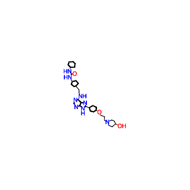 O=C(Nc1ccccc1)Nc1ccc(CCNc2ncnc3[nH]c(-c4ccc(OCCCN5CCC(O)CC5)cc4)nc23)cc1